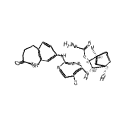 NC(=O)O[C@H]1[C@@H](Nc2nc(Nc3ccc4c(c3)CNC(=O)CC4)ncc2Cl)[C@@H]2C=C[C@H]1C2